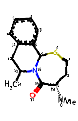 CN[C@H]1CCSC2c3ccccc3CC(C)N2C1=O